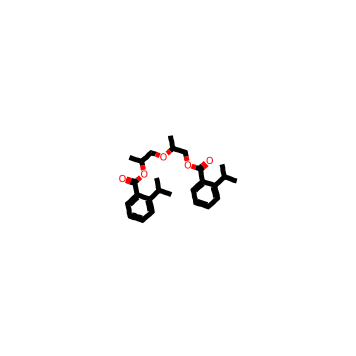 CC(COC(=O)c1ccccc1C(C)C)OCC(C)OC(=O)c1ccccc1C(C)C